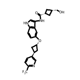 O=C(Nc1c[nH]c2ccc(O[C@H]3C[C@H](c4ccc(C(F)(F)F)nc4)C3)cc12)[C@H]1C[C@@H](CO)C1